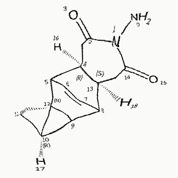 NN1C(=O)[C@@H]2C3C=CC(C4[C@H]5C[C@]345)[C@@H]2C1=O